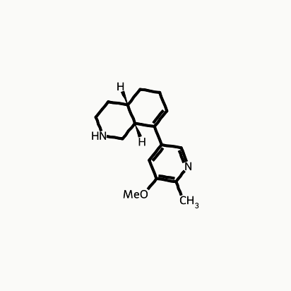 COc1cc(C2=CCC[C@H]3CCNC[C@@H]23)cnc1C